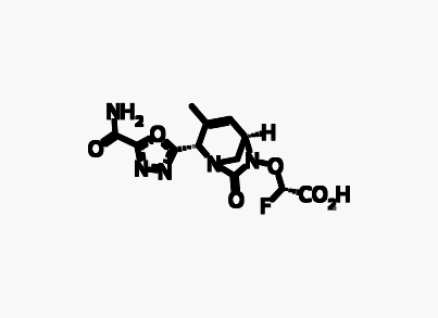 CC1=C[C@@H]2CN(C(=O)N2O[C@@H](F)C(=O)O)[C@@H]1c1nnc(C(N)=O)o1